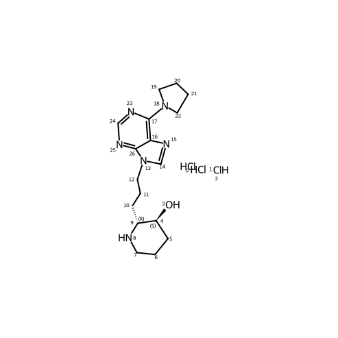 Cl.Cl.Cl.O[C@H]1CCCN[C@@H]1CCCn1cnc2c(N3CCCC3)ncnc21